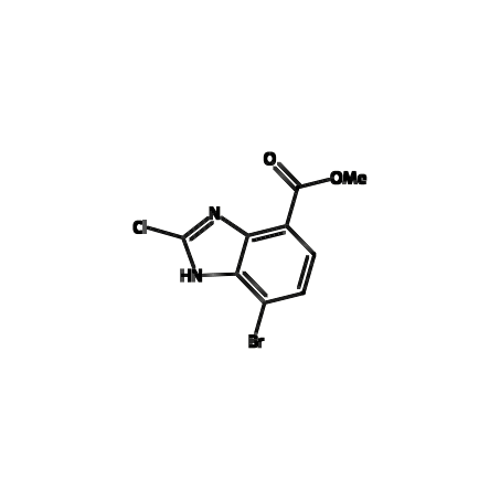 COC(=O)c1ccc(Br)c2[nH]c(Cl)nc12